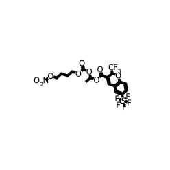 CC(OC(=O)OCCCCO[N+](=O)[O-])OC(=O)C1=Cc2cc(S(F)(F)(F)(F)F)ccc2OC1C(F)(F)F